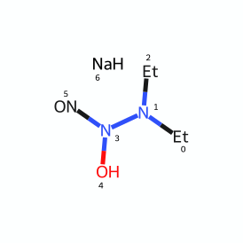 CCN(CC)N(O)N=O.[NaH]